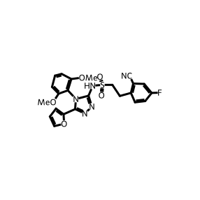 COc1cccc(OC)c1-n1c(NS(=O)(=O)CCc2ccc(F)cc2C#N)nnc1-c1ccco1